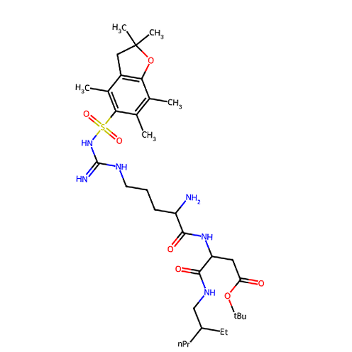 CCCC(CC)CNC(=O)C(CC(=O)OC(C)(C)C)NC(=O)C(N)CCCNC(=N)NS(=O)(=O)c1c(C)c(C)c2c(c1C)CC(C)(C)O2